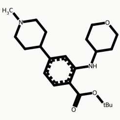 CN1CCC(c2ccc(C(=O)OC(C)(C)C)c(NC3CCOCC3)c2)CC1